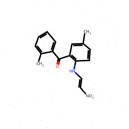 Cc1ccc(N/C=C/[N+](=O)[O-])c(C(=O)c2ccccc2C)c1